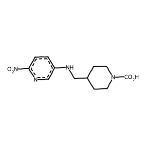 O=C(O)N1CCC(CNc2ccc([N+](=O)[O-])nc2)CC1